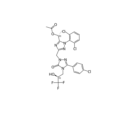 CC(=O)O[C@H](C)c1nc(Cn2nc(-c3ccc(Cl)cc3)n(C[C@H](O)C(F)(F)F)c2=O)nn1-c1c(Cl)cccc1Cl